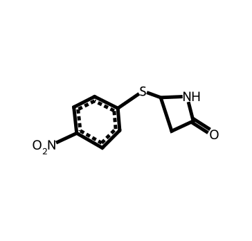 O=C1CC(Sc2ccc([N+](=O)[O-])cc2)N1